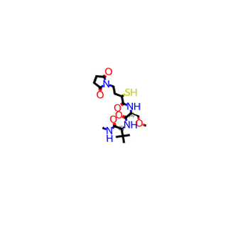 CNC(=O)[C@@H](NC(=O)[C@H](COC)NC(=O)C(S)CCN1C(=O)CCC1=O)C(C)(C)C